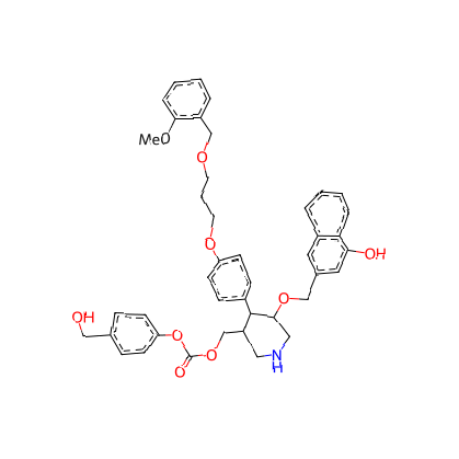 COc1ccccc1COCCCOc1ccc(C2C(COC(=O)Oc3ccc(CO)cc3)CNCC2OCc2cc(O)c3ccccc3c2)cc1